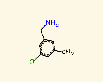 Cc1cc(Cl)cc(CN)c1